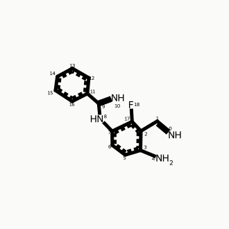 N=Cc1c(N)ccc(NC(=N)c2ccccc2)c1F